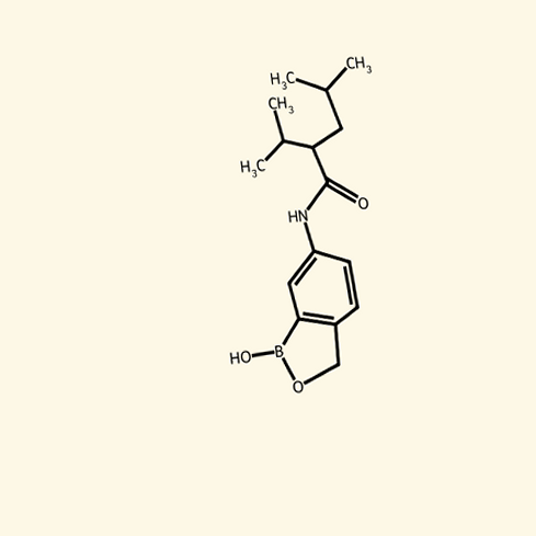 CC(C)CC(C(=O)Nc1ccc2c(c1)B(O)OC2)C(C)C